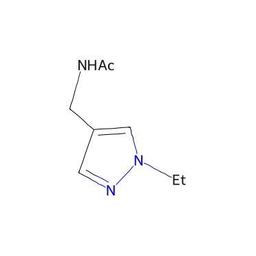 CCn1cc(CNC(C)=O)cn1